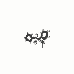 O=S(=O)(c1ccccc1)c1n[nH]c2[c]cccc12